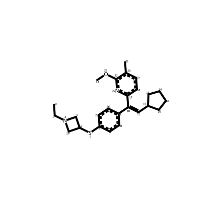 CCN1CC(Sc2ccc(C(=CC3CCCC3)c3ccc(C)c(OC)n3)cc2)C1